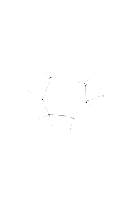 O=C1OC(=O)C(F)(F)C(F)(F)C(F)(F)C1(F)F